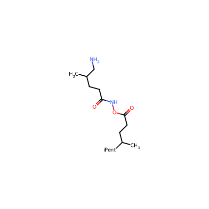 CCCC(C)C(C)CCC(=O)ONC(=O)CCC(C)CN